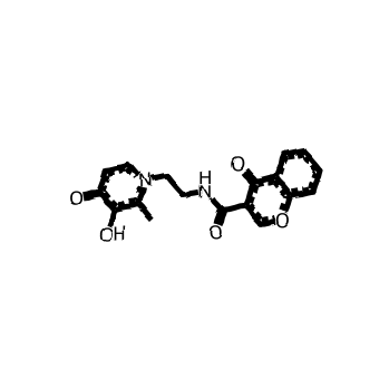 Cc1c(O)c(=O)ccn1CCNC(=O)c1coc2ccccc2c1=O